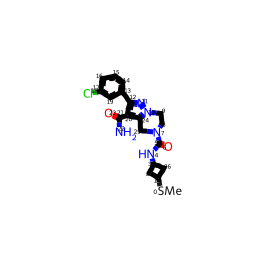 CSC1CC(NC(=O)N2CCn3nc(-c4cccc(Cl)c4)c(C(N)=O)c3C2)C1